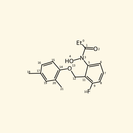 CCC(=O)N(O)c1cccc(F)c1COc1ccc(C)cc1C